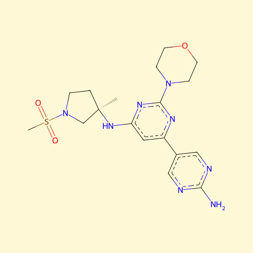 C[C@@]1(Nc2cc(-c3cnc(N)nc3)nc(N3CCOCC3)n2)CCN(S(C)(=O)=O)C1